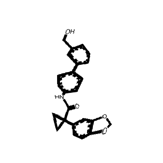 O=C(Nc1ccc(-c2cccc(CO)c2)cc1)C1(c2ccc3c(c2)OCO3)CC1